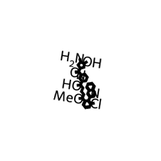 COC(CCCC(O)C1CCCN(C(=O)C2CC(N)C(O)C2)C1)c1cccc(Cl)c1-c1cnc2ccccc2c1